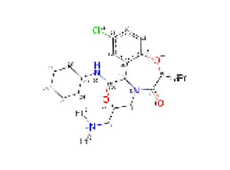 CCN(CC)CCCN1C(=O)C(C(C)C)Oc2ccc(Cl)cc2C1C(=O)NC1CCCCC1